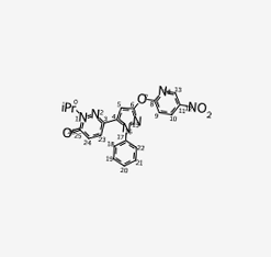 CC(C)n1nc(-c2cc(Oc3ccc([N+](=O)[O-])cn3)nn2-c2ccccc2)ccc1=O